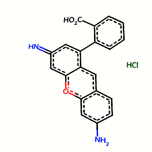 Cl.N=c1cc2oc3cc(N)ccc3cc-2c(-c2ccccc2C(=O)O)c1